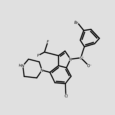 [O-][S+](c1cccc(Br)c1)n1cc(C(F)F)c2c(N3CCNCC3)cc(Cl)cc21